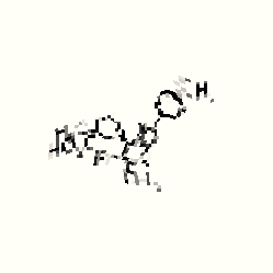 Cc1ccc(-c2cc3nc(C)c(C(C)C)c(N4CCCC(C)(C(=O)O)C4)n3n2)cc1